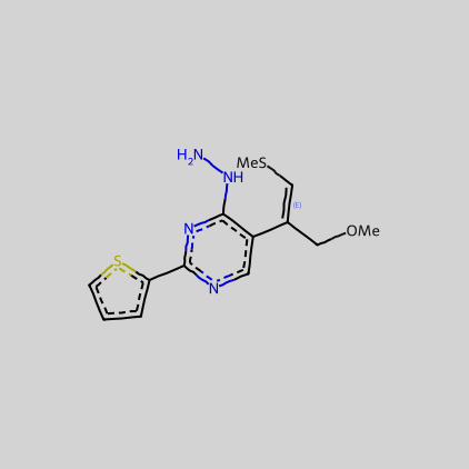 COC/C(=C/SC)c1cnc(-c2cccs2)nc1NN